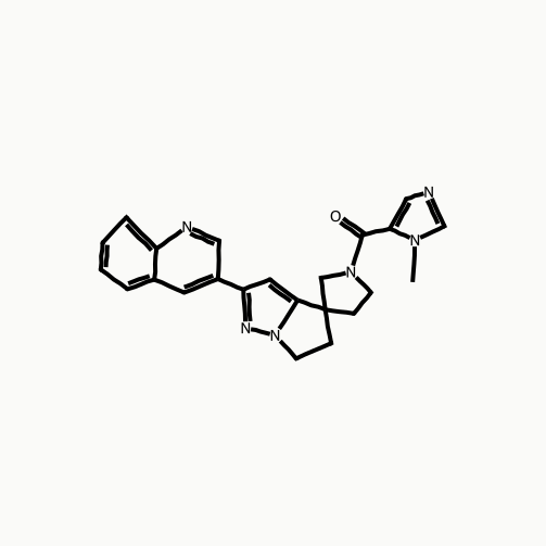 Cn1cncc1C(=O)N1CCC2(CCn3nc(-c4cnc5ccccc5c4)cc32)C1